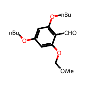 CCCCOc1cc(OCCCC)c(C=O)c(OCOC)c1